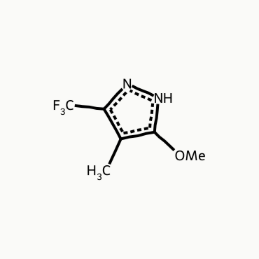 COc1[nH]nc(C(F)(F)F)c1C